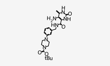 C=C1NC(=O)NC(C(=O)NCc2cccc(N3CCN(C(=O)OC(C)(C)C)CC3)c2)=C1N